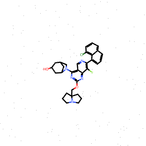 OC1CC2CC(C1)N(c1nc(OCC34CCCN3CCC4)nc3c(F)c(-c4cccc5cccc(Cl)c45)ncc13)C2